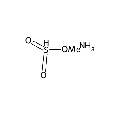 N.[CH2]O[SH](=O)=O